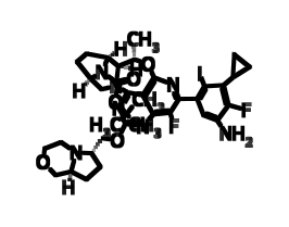 C[C@@H]1Oc2nc(-c3cc(N)c(F)c(C4CC4)c3I)c(F)c3nc(OC[C@@H]4CC[C@H]5COCCN54)nc(c23)N2C[C@H]3CC[C@@H]([C@@H]12)N3C(=O)OC(C)(C)C